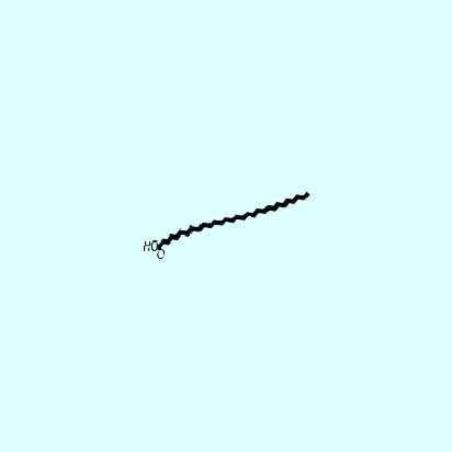 CCCCC=CCC=CCCCCCCCCCCCCCCCCCCCCC(=O)O